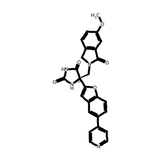 COc1ccc2c(c1)C(=O)N(C[C@@]1(c3cc4cc(-c5ccncc5)ccc4o3)NC(=O)NC1=O)C2